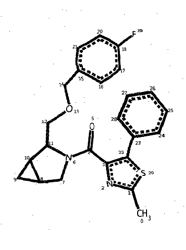 Cc1nc(C(=O)N2CC3CC3C2COCc2ccc(F)cc2)c(-c2ccccc2)s1